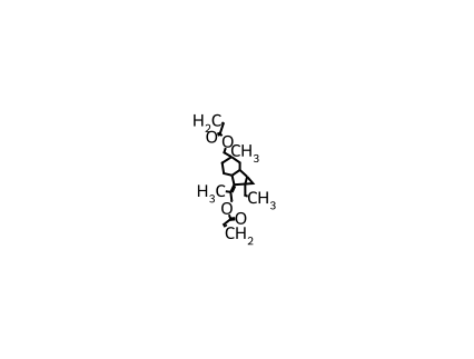 C=CC(=O)OC/C(C)=C1/C2CCC(C)(COC(=O)C=C)CC2C2CC12CC